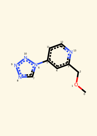 COCc1cc(-n2cnnn2)ccn1